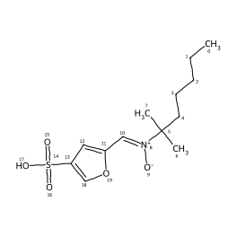 CCCCCC(C)(C)[N+]([O-])=Cc1cc(S(=O)(=O)O)co1